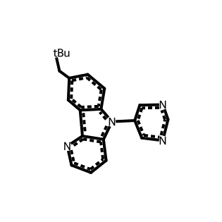 CC(C)(C)Cc1ccc2c(c1)c1ncccc1n2-c1cncnc1